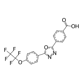 O=C(O)c1ccc(-c2nnc(-c3ccc(OC(F)(F)C(F)(F)F)cc3)o2)cc1